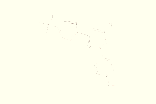 Cc1ccc(-c2nc(N)cc(-c3ccc(C(F)(F)F)cc3)n2)cc1